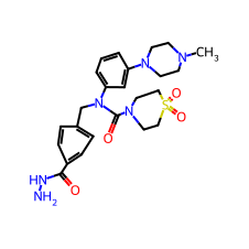 CN1CCN(c2cccc(N(Cc3ccc(C(=O)NN)cc3)C(=O)N3CCS(=O)(=O)CC3)c2)CC1